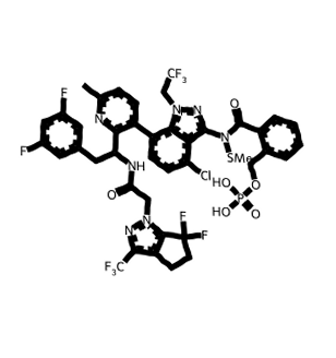 CSN(C(=O)c1ccccc1COP(=O)(O)O)c1nn(CC(F)(F)F)c2c(-c3ccc(C)nc3C(Cc3cc(F)cc(F)c3)NC(=O)Cn3nc(C(F)(F)F)c4c3C(F)(F)CC4)ccc(Cl)c12